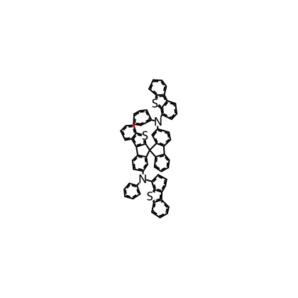 c1ccc(N(c2ccc3c(c2)C2(c4ccccc4-3)c3cc(N(c4ccccc4)c4cccc5c4sc4ccccc45)ccc3-c3c2sc2ccccc32)c2cccc3c2sc2ccccc23)cc1